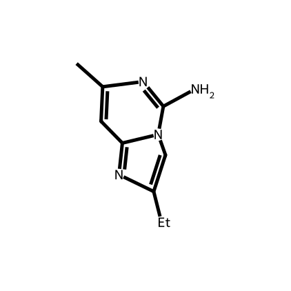 CCc1cn2c(N)nc(C)cc2n1